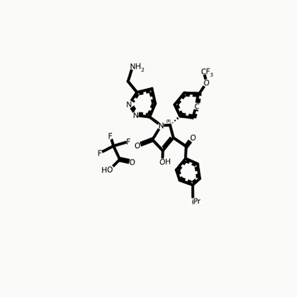 CC(C)c1ccc(C(=O)C2=C(O)C(=O)N(c3ccc(CN)nn3)[C@@H]2c2ccc(OC(F)(F)F)cc2)cc1.O=C(O)C(F)(F)F